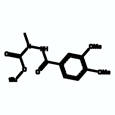 COc1ccc(C(=O)NN(C)C(=O)OC(C)(C)C)cc1OC